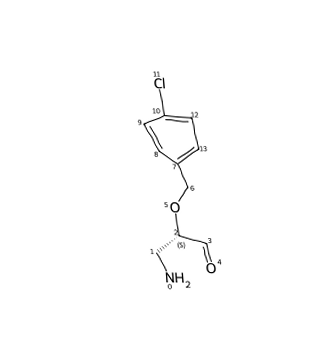 NC[C@@H](C=O)OCc1ccc(Cl)cc1